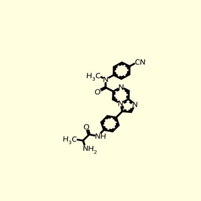 CC(N)C(=O)Nc1ccc(-c2cnc3cnc(C(=O)N(C)c4ccc(C#N)cc4)cn23)cc1